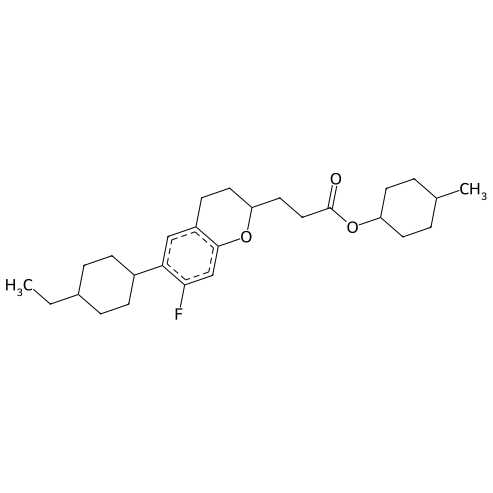 CCC1CCC(c2cc3c(cc2F)OC(CCC(=O)OC2CCC(C)CC2)CC3)CC1